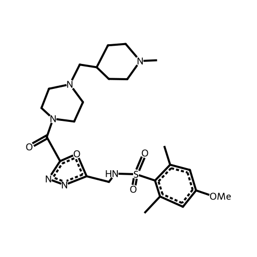 COc1cc(C)c(S(=O)(=O)NCc2nnc(C(=O)N3CCN(CC4CCN(C)CC4)CC3)o2)c(C)c1